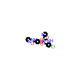 O=C(Nc1ccccn1)c1ccc(S(=O)(=O)N2Cc3ccc(Cl)cc3NC(=O)[C@H]2Cc2ccccn2)cc1